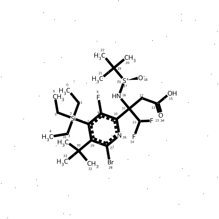 CC[Si](CC)(CC)c1c(F)c(C(CC(=O)O)(N[S@+]([O-])C(C)(C)C)C(F)F)nc(Br)c1C(C)(C)C